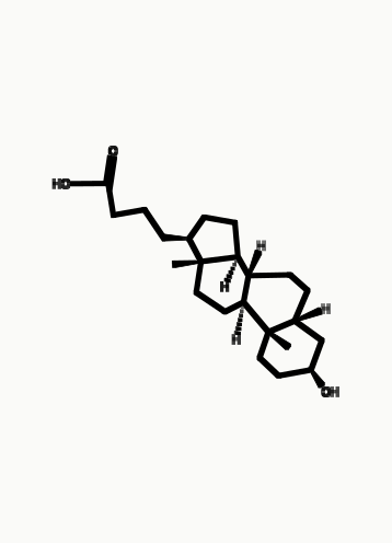 C[C@]12CC[C@H](O)C[C@H]1CC[C@@H]1[C@@H]2CC[C@]2(C)[C@@H](CCCC(=O)O)CC[C@@H]12